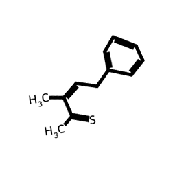 CC(=S)/C(C)=C\Cc1ccccc1